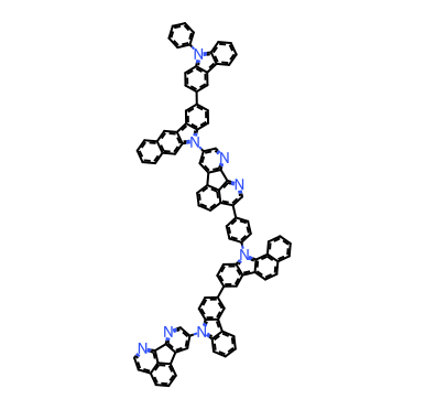 c1ccc(-n2c3ccccc3c3cc(-c4ccc5c(c4)c4cc6ccccc6cc4n5-c4cnc5c(c4)-c4cccc6c(-c7ccc(-n8c9ccc(-c%10ccc%11c(c%10)c%10ccccc%10n%11-c%10cnc%11c(c%10)-c%10cccc%12ccnc-%11c%10%12)cc9c9ccc%10ccccc%10c98)cc7)cnc-5c46)ccc32)cc1